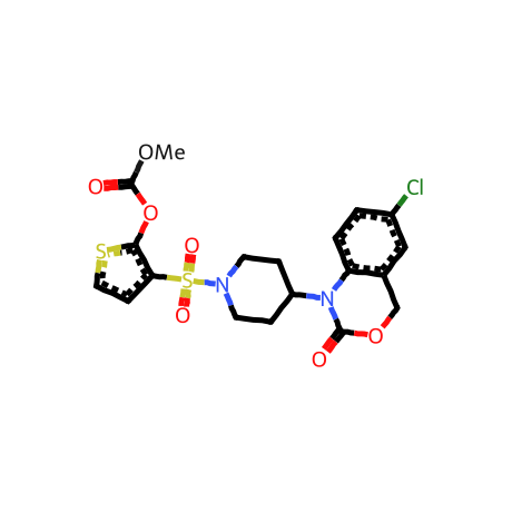 COC(=O)Oc1sccc1S(=O)(=O)N1CCC(N2C(=O)OCc3cc(Cl)ccc32)CC1